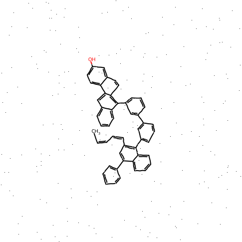 C/C=C\C=C/c1cc(-c2ccccc2)c2ccccc2c1-c1cccc(-c2cccc(-c3c4ccccc4cc4c3ccc3cc(O)ccc34)c2)c1